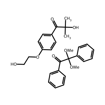 CC(C)(O)C(=O)c1ccc(OCCO)cc1.COC(OC)(C(=O)c1ccccc1)c1ccccc1